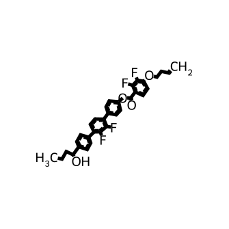 C=CCCOc1ccc(C(=O)Oc2ccc(-c3ccc(-c4ccc(C(O)CCC)cc4)c(F)c3F)cc2)c(F)c1F